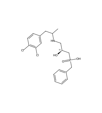 CC(Cc1ccc(Cl)c(Cl)c1)NC[C@H](O)CP(=O)(O)Cc1ccccc1